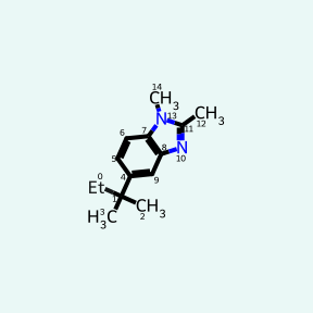 CCC(C)(C)c1ccc2c(c1)nc(C)n2C